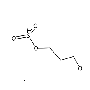 [O]CCCO[SH](=O)=O